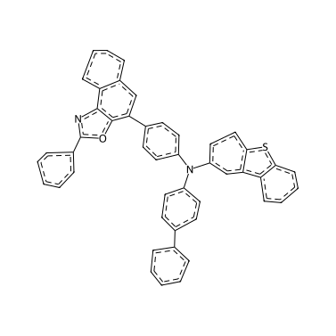 c1ccc(-c2ccc(N(c3ccc(-c4cc5ccccc5c5nc(-c6ccccc6)oc45)cc3)c3ccc4sc5ccccc5c4c3)cc2)cc1